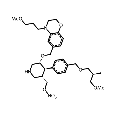 COCCCN1CCOc2ccc(CO[C@H]3CNC[C@@H](CO[N+](=O)[O-])[C@@H]3c3ccc(COC[C@@H](C)COC)cc3)cc21